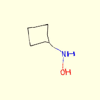 ONC1CCC1